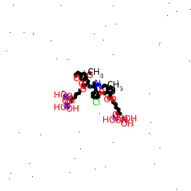 CCCCn1ncc(/C=C(\Cc2cc3c(cc2OC)CCO3)C(=O)OCCCCC(CON(O)O)ON(O)O)c1-c1ccc(Cl)cc1OCc1ccccc1C(=O)OCCCCC(CON(O)O)ON(O)O